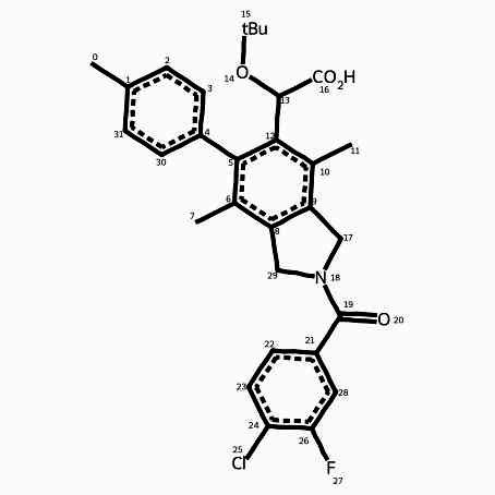 Cc1ccc(-c2c(C)c3c(c(C)c2C(OC(C)(C)C)C(=O)O)CN(C(=O)c2ccc(Cl)c(F)c2)C3)cc1